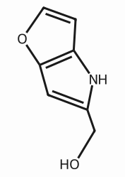 OCc1cc2occc2[nH]1